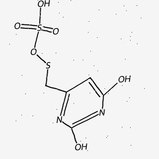 O=S(=O)(O)OSCc1cc(O)nc(O)n1